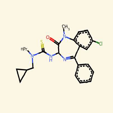 CCCN(CC1CC1)C(=S)NC1N=C(c2ccccc2)c2cc(Cl)ccc2N(C)C1=O